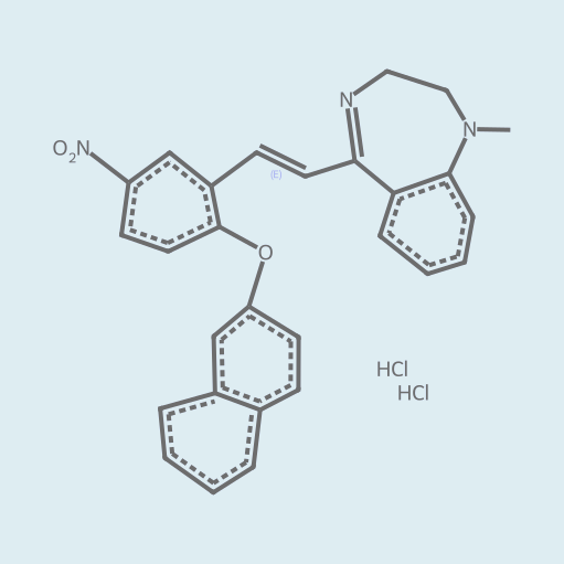 CN1CCN=C(/C=C/c2cc([N+](=O)[O-])ccc2Oc2ccc3ccccc3c2)c2ccccc21.Cl.Cl